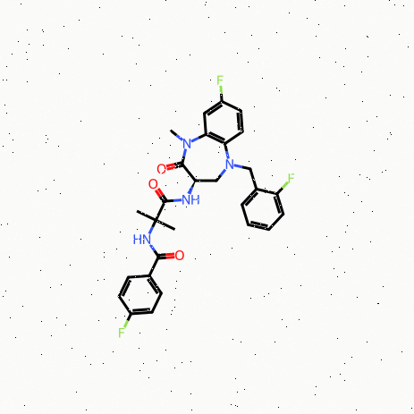 CN1C(=O)[C@H](NC(=O)C(C)(C)NC(=O)c2ccc(F)cc2)CN(Cc2ccccc2F)c2ccc(F)cc21